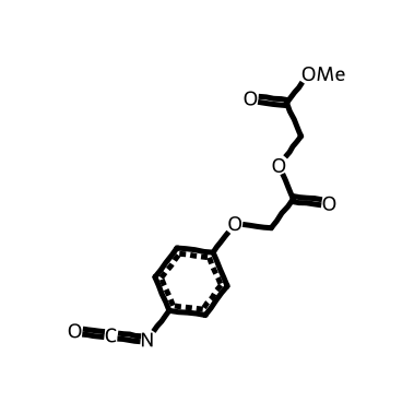 COC(=O)COC(=O)COc1ccc(N=C=O)cc1